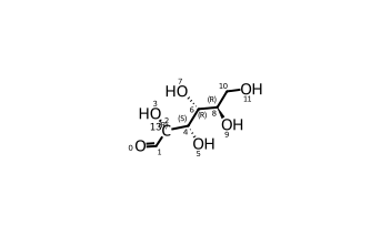 O=C[13C@H](O)[C@@H](O)[C@H](O)[C@H](O)CO